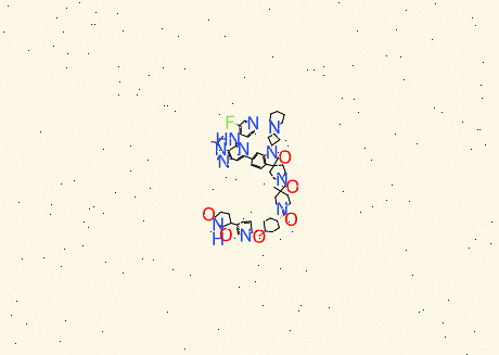 CC(C)n1cnc2cc(-c3ccc4c(c3)N([C@H]3C[C@@H](N5CCCCC5)C3)C(=O)C43CCN(C(=O)C4(C)CCN(C(=O)[C@H]5CC[C@H](Oc6ccc(C7CCC(=O)NC7=O)cn6)CC5)CC4)CC3)nc(Nc3ccncc3F)c21